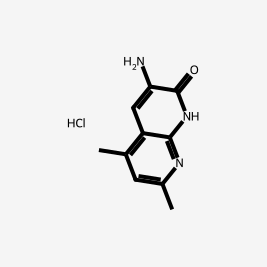 Cc1cc(C)c2cc(N)c(=O)[nH]c2n1.Cl